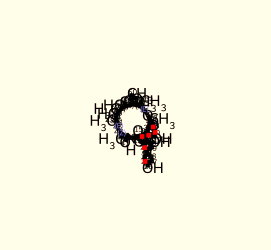 CO[C@H]1/C=C/O[C@@]2(C)Oc3cc(O)c4c(=O)c(c5oc6cc(N7CCC(O)CC7)cc(O)c6nc-5c4c3C2=O)NC(=O)/C(C)=C\C=C\[C@H](C)[C@H](O)[C@@H](C)[C@@H](O)[C@@H](C)[C@H](OC(C)=O)[C@@H]1C